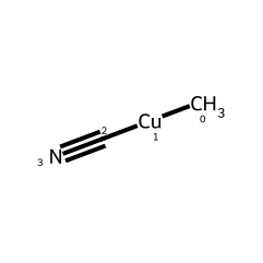 [CH3][Cu][C]#N